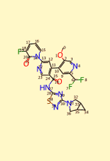 COc1cnc(C(F)F)cc1-c1cc(-n2cccc(F)c2=O)ncc1C(=O)Nc1nc(N2CC3CC3C2)ns1